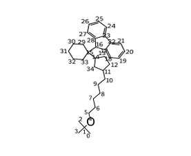 CC(C)(C)OCCCCCCC1CCC(C2(C3c4ccccc4-c4ccccc43)CCCCC2)C1